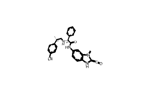 C[C@H](CN[C@@H](C(=O)Nc1ccc2c(c1)N(C)C(=C=O)N2)c1ccccc1)c1ccc(C#N)cc1